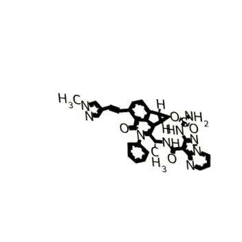 C[C@@H](NC(=O)c1c(NS(N)(=O)=O)nn2cccnc12)c1c2c3c(ccc(C#Cc4cnn(C)c4)c3c(=O)n1-c1ccccc1)[C@@H]1C[C@H]21